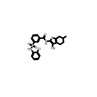 CC1CCc2c(sc(NC(=O)c3cccc(S(=O)(=O)Nc4ccccc4Cl)c3)c2C#N)C1